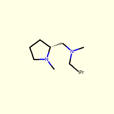 CC(C)CN(C)C[C@H]1CCCN1C